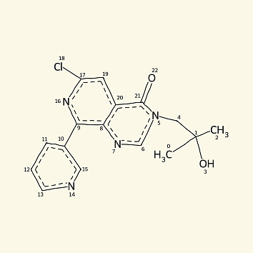 CC(C)(O)Cn1cnc2c(-c3cccnc3)nc(Cl)cc2c1=O